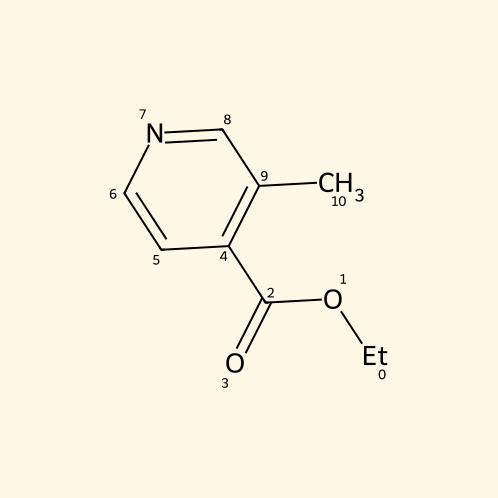 CCOC(=O)c1ccncc1C